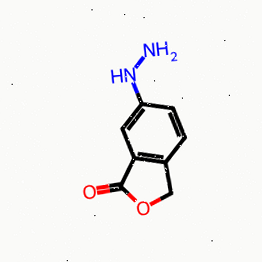 NNc1ccc2c(c1)C(=O)OC2